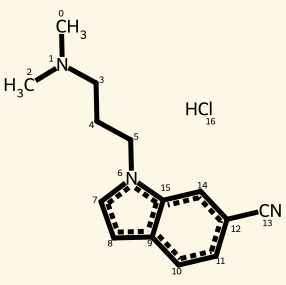 CN(C)CCCn1ccc2ccc(C#N)cc21.Cl